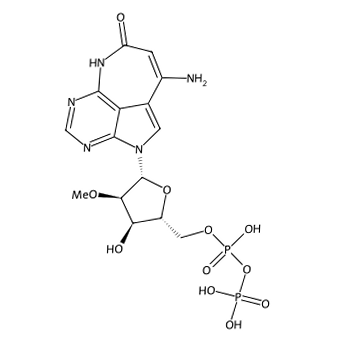 CO[C@@H]1[C@H](O)[C@@H](COP(=O)(O)OP(=O)(O)O)O[C@H]1n1cc2c3c(ncnc31)NC(=O)C=C2N